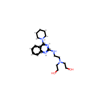 OCCN(CCO)CCNc1nc(N2CCCCC2)c2ccccc2n1